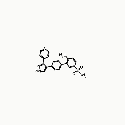 Cc1ccc(S(N)(=O)=O)cc1-c1ccc(-c2c[nH]nc2-c2ccncc2)cc1